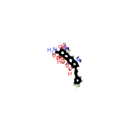 CN(C)c1cc(C#Cc2ccc(F)cc2)c(O)c2c1CC1CC3C(N(C)C)C(O)=C(C(N)=O)C(=O)C3(O)C(O)=C1C2=O